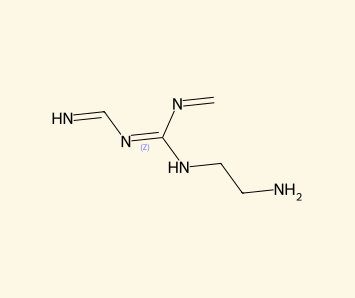 C=N/C(=N\C=N)NCCN